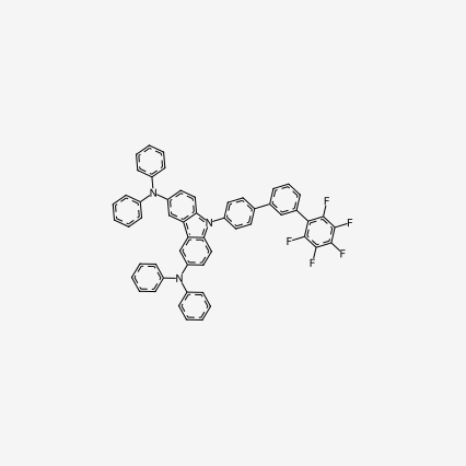 Fc1c(F)c(F)c(-c2cccc(-c3ccc(-n4c5ccc(N(c6ccccc6)c6ccccc6)cc5c5cc(N(c6ccccc6)c6ccccc6)ccc54)cc3)c2)c(F)c1F